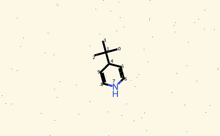 CC(C)(C)C1C=CNC=C1